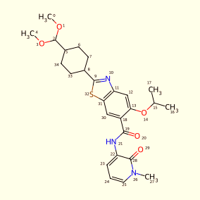 COC(OC)C1CCC(c2nc3cc(OC(C)C)c(C(=O)Nc4cccn(C)c4=O)cc3s2)CC1